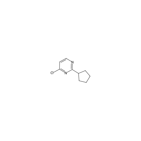 Clc1ccnc(C2CCCC2)n1